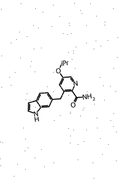 CC(C)Oc1cnc(C(N)=O)c(Cc2ccc3cc[nH]c3c2)c1